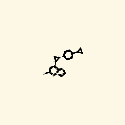 Clc1cc([C@H]2C[C@@H]2c2ccc(C3CC3)cc2)c2nccn2n1